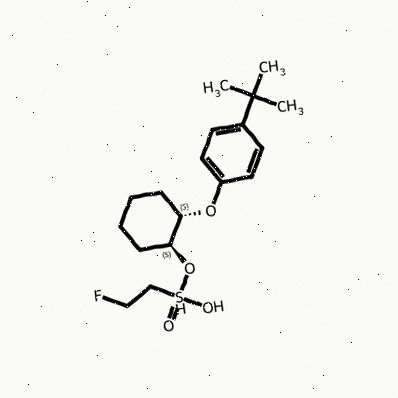 CC(C)(C)c1ccc(O[C@H]2CCCC[C@@H]2O[SH](=O)(O)CCF)cc1